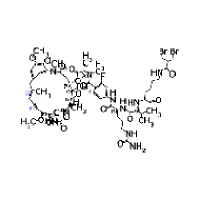 COc1cc2cc(c1Cl)N(C)C(=O)C[C@H](OC(=O)[C@H](C)N(C)C(=O)c1ccc(NC(=O)[C@H](CCCNC(N)=O)NC(=O)[C@@H](NC(C=O)CCCCNC(=O)C(CBr)CBr)C(C)C)cc1F)[C@]1(C)O[C@H]1[C@H](C)[C@@H]1C[C@@](O)(NC(=O)O1)[C@H](OC)/C=C/C=C(\C)C2